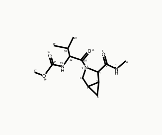 CNC(=O)C1C2CC2CN1C(=O)C(NC(=O)OC)C(C)C